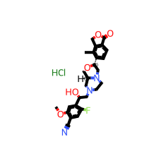 COc1cc(C(O)CN2CCN3C[C@@H](c4ccc5c(c4C)COC5=O)OC[C@@H]3C2)c(F)cc1C#N.Cl